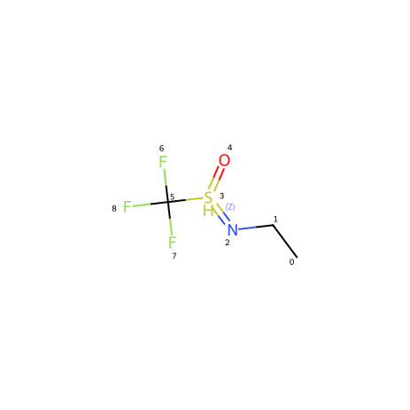 CC/N=[SH](=O)/C(F)(F)F